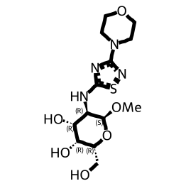 CO[C@H]1O[C@H](CO)[C@H](O)[C@H](O)[C@H]1Nc1nc(N2CCOCC2)ns1